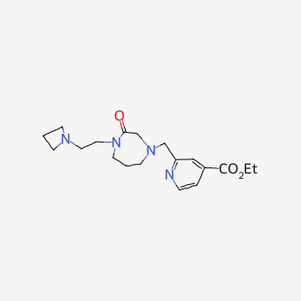 CCOC(=O)c1ccnc(CN2CCCN(CCN3CCC3)C(=O)C2)c1